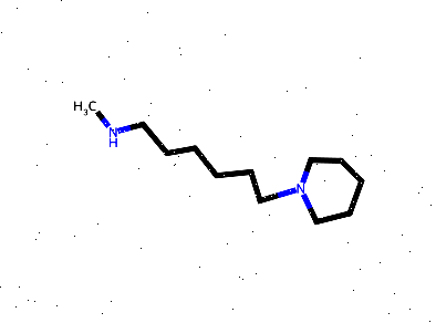 CNCCCCCCN1CCCCC1